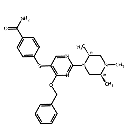 C[C@@H]1CN(C)[C@@H](C)CN1c1ncc(Sc2ccc(C(N)=O)cc2)c(OCc2ccccc2)n1